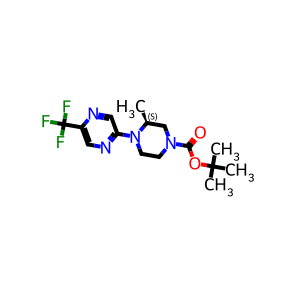 C[C@H]1CN(C(=O)OC(C)(C)C)CCN1c1cnc(C(F)(F)F)cn1